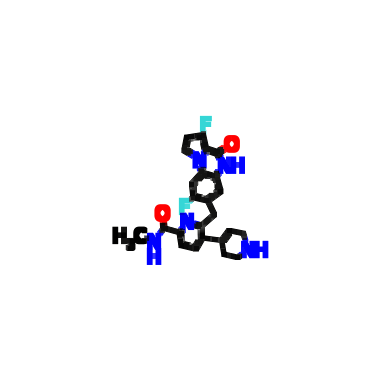 CNC(=O)c1ccc(C2=CCNCC2)c(Cc2cc3[nH]c(=O)c4c(F)ccn4c3cc2F)n1